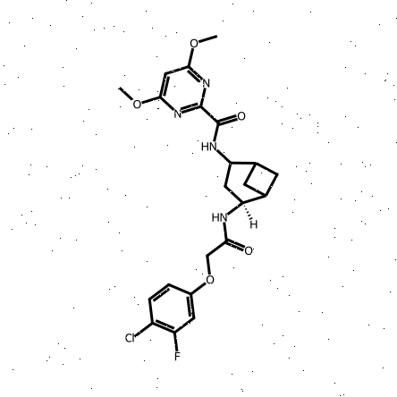 COc1cc(OC)nc(C(=O)NC2C[C@H](NC(=O)COc3ccc(Cl)c(F)c3)C3CC2C3)n1